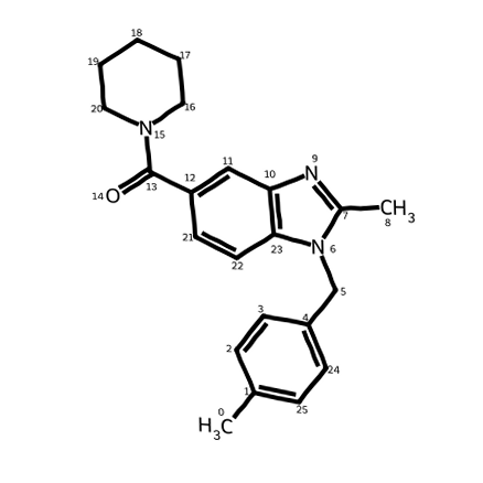 Cc1ccc(Cn2c(C)nc3cc(C(=O)N4CCCCC4)ccc32)cc1